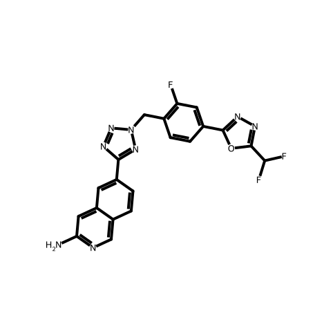 Nc1cc2cc(-c3nnn(Cc4ccc(-c5nnc(C(F)F)o5)cc4F)n3)ccc2cn1